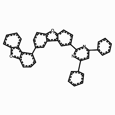 c1ccc(-c2cc(-c3ccccc3)nc(-c3ccc4oc5ccc(-c6cccc7oc8ccccc8c67)cc5c4c3)n2)cc1